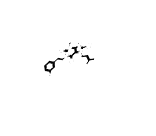 CC(C)=CCn1c(Cl)nc2c1c(=O)n(CCc1cccc(F)c1)c(=O)n2C